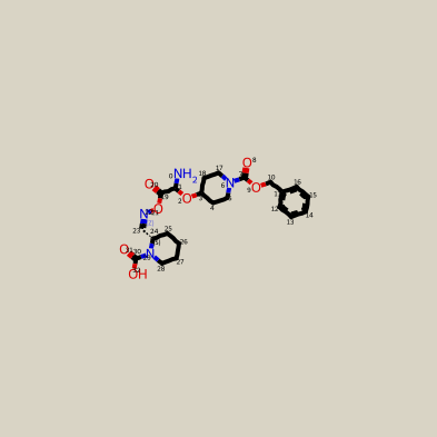 NC(OC1CCN(C(=O)OCc2ccccc2)CC1)C(=O)O/N=C\[C@@H]1CCCCN1C(=O)O